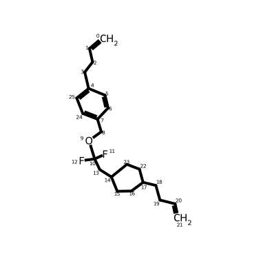 C=CCCc1ccc(COC(F)(F)CC2CCC(CCC=C)CC2)cc1